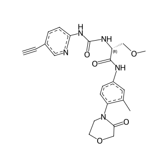 C#Cc1ccc(NC(=O)N[C@H](COC)C(=O)Nc2ccc(N3CCOCC3=O)c(C)c2)nc1